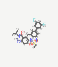 CCS(=O)(=O)N[C@H]1CCc2ncn(C(C)C)c(=O)c2[C@H]1Cc1cccc(-c2cc(F)cc(F)c2)c1